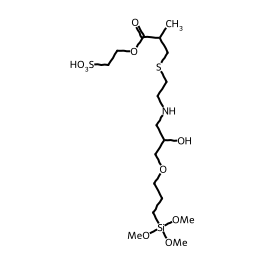 CO[Si](CCCOCC(O)CNCCSCC(C)C(=O)OCCS(=O)(=O)O)(OC)OC